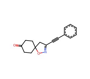 O=C1CCC2(CC1)CC(C#Cc1ccccc1)=NO2